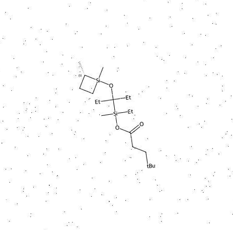 CCC(CC)(O[Si]1(C)CC[C@@H]1C)[Si](C)(CC)OC(=O)CCC(C)(C)C